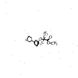 COC(=O)C(C)(C)Oc1cccc(C2CCCNC2)c1